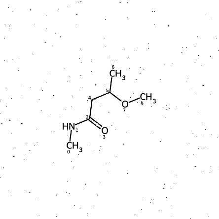 CNC(=O)[CH]C(C)OC